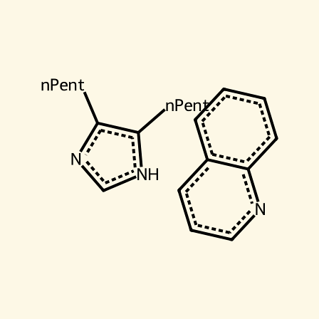 CCCCCc1nc[nH]c1CCCCC.c1ccc2ncccc2c1